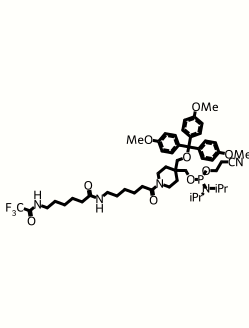 COc1ccc(C(OCC2(COP(OCCC#N)N(C(C)C)C(C)C)CCN(C(=O)CCCCCNC(=O)CCCCCNC(=O)C(F)(F)F)CC2)(c2ccc(OC)cc2)c2ccc(OC)cc2)cc1